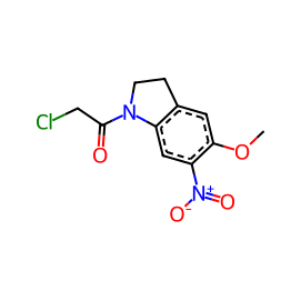 COc1cc2c(cc1[N+](=O)[O-])N(C(=O)CCl)CC2